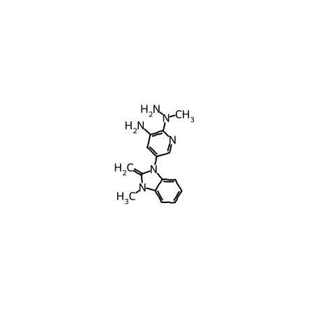 C=C1N(C)c2ccccc2N1c1cnc(N(C)N)c(N)c1